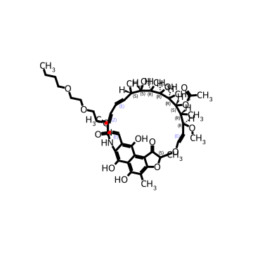 CCCCOCCOCCO/N=C/c1c2c(O)c3c(O)c(C)c4c(c3c1O)C(=O)[C@@](C)(O/C=C/[C@H](OC)[C@@H](C)[C@@H](OC(C)=O)[C@H](C)[C@H](O)[C@H](C)[C@@H](O)[C@@H](C)/C=C/C=C(/C)C(=O)N2)O4